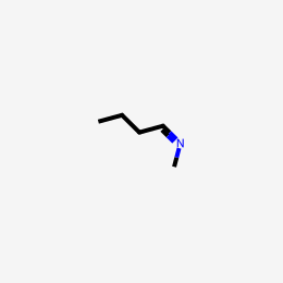 CCC/C=N\C